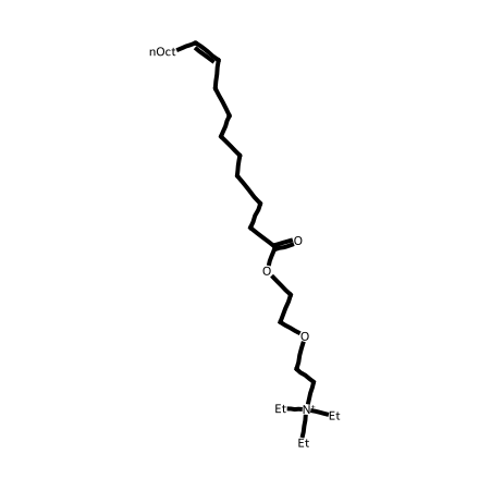 CCCCCCCC/C=C\CCCCCCCC(=O)OCCOCC[N+](CC)(CC)CC